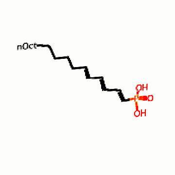 CCCCCCCCCCCCC=CC=CC=CP(=O)(O)O